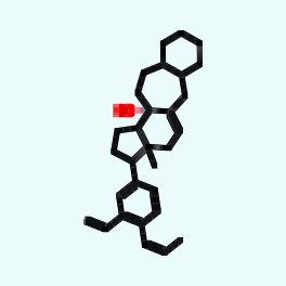 C=Cc1cc(C2CCC3C2(C)CC=C2CC4CCCCC4CC[C@@]23O)ccc1/C=C\C